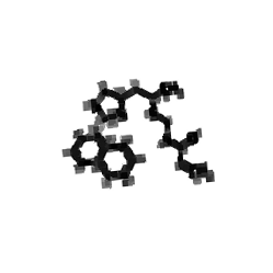 C=CC(=O)SCSC(C)CC1CS[C@@H](c2cccc3ccccc23)S1